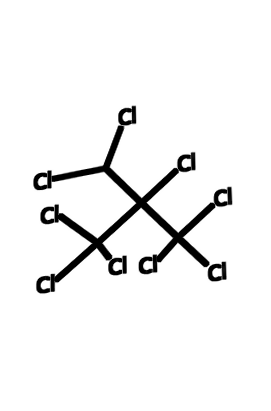 ClC(Cl)C(Cl)(C(Cl)(Cl)Cl)C(Cl)(Cl)Cl